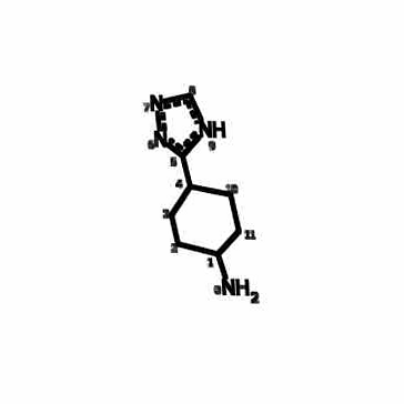 NC1CCC(c2nnc[nH]2)CC1